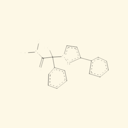 CN(C)C(=O)C(C)(c1ccccc1)n1ccc(-c2ccccc2)n1